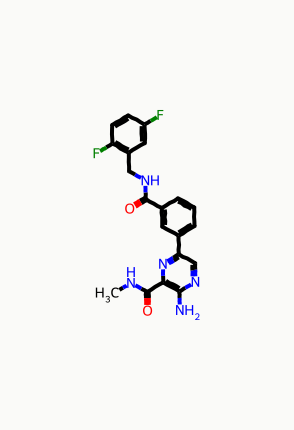 CNC(=O)c1nc(-c2cccc(C(=O)NCc3cc(F)ccc3F)c2)cnc1N